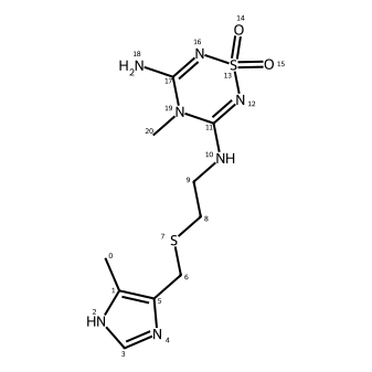 Cc1[nH]cnc1CSCCNC1=NS(=O)(=O)N=C(N)N1C